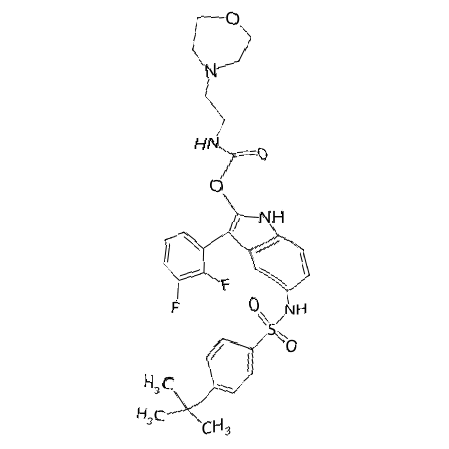 CC(C)(C)c1ccc(S(=O)(=O)Nc2ccc3[nH]c(OC(=O)NCCN4CCOCC4)c(-c4cccc(F)c4F)c3c2)cc1